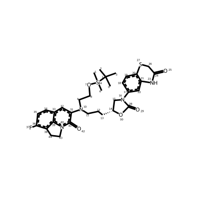 CC(C)(C)[Si](C)(C)OCCN(CCC[C@@H]1CN(c2ccc3c(c2)NC(=O)CS3)C(=O)O1)c1cc2ccc(F)c3c2n(c1=O)CC3